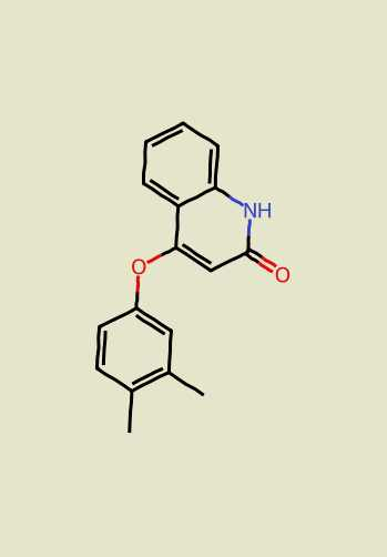 Cc1ccc(Oc2cc(=O)[nH]c3ccccc23)cc1C